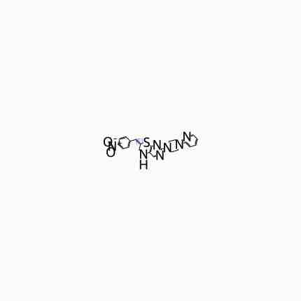 O=[N+]([O-])c1ccc(/C=C2\CNc3cnc(N4CCN(c5ccccn5)CC4)nc3S2)cc1